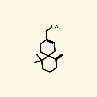 C=C1CCCC(C)(C)C12CC=C(COC(C)=O)CC2